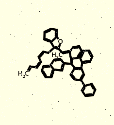 C=C/C=C\C=C/Cc1c(/C(C)=c2\cccc\c2=C(\c2ccc3ccccc3c2)c2ccc(-c3ccccc3)cc2-c2ccccc2)oc2ccccc12